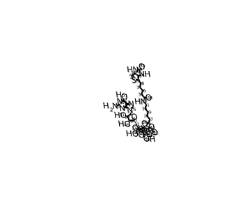 Nc1nc2c(ncn2[C@@H]2O[C@H](COP(=O)(O)OP(=O)(O)OP(=O)(O)OC(=O)CCCCCNC(=O)CCCCC3SCC4NC(=O)NC43)[C@H](O)C2O)c(=O)[nH]1